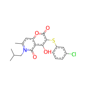 Cc1cc2oc(=O)c(Sc3cccc(Cl)c3)c(O)c2c(=O)n1CC(C)C